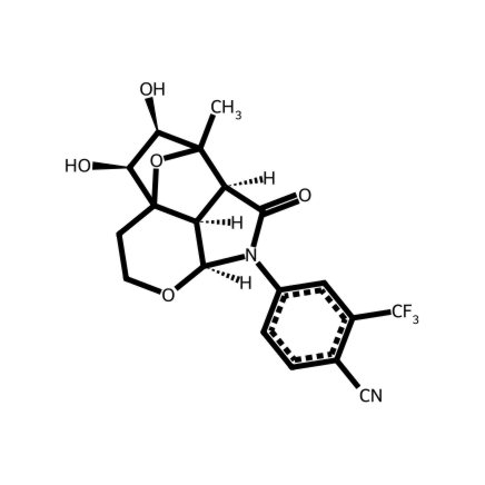 CC12OC3(CCO[C@H]4[C@@H]3[C@@H]1C(=O)N4c1ccc(C#N)c(C(F)(F)F)c1)[C@@H](O)[C@H]2O